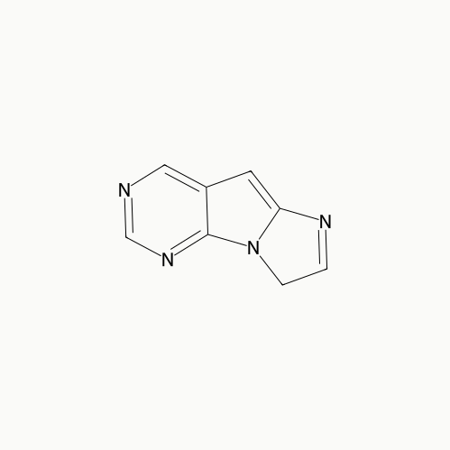 C1=Nc2cc3cncnc3n2C1